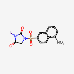 O=C1CN(S(=O)(=O)c2ccc3c([N+](=O)[O-])cccc3c2)C(=O)N1I